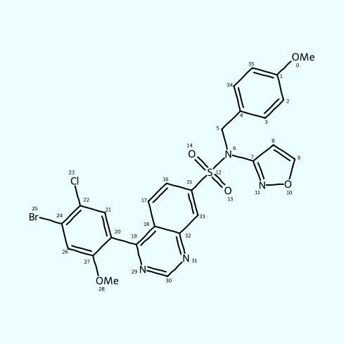 COc1ccc(CN(c2ccon2)S(=O)(=O)c2ccc3c(-c4cc(Cl)c(Br)cc4OC)ncnc3c2)cc1